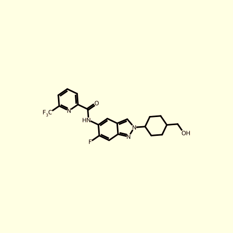 O=C(Nc1cc2cn(C3CCC(CO)CC3)nc2cc1F)c1cccc(C(F)(F)F)n1